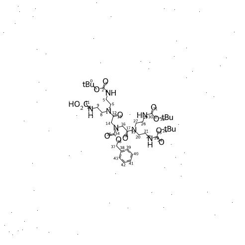 CC(C)(C)OC(=O)NCCN(CCNC(=O)O)C(=O)CN(CC(=O)N(CCNC(=O)OC(C)(C)C)CCNC(=O)OC(C)(C)C)C(=O)OCc1ccccc1